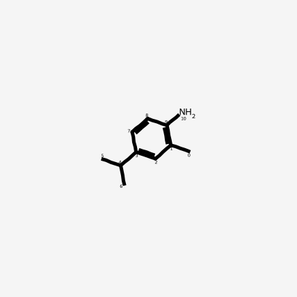 Cc1cc(C(C)C)ccc1N